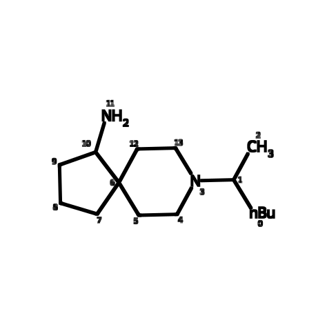 CCCCC(C)N1CCC2(CCCC2N)CC1